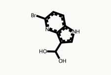 OC(O)c1c[nH]c2ccc(Br)nc12